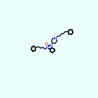 O=c1n(CCCCc2ccccc2)c2ccccc2n1C1CCN(CCCCCc2ccccc2)CC1